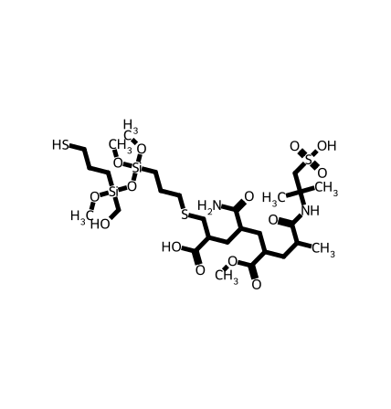 COC(=O)C(CC(C)C(=O)NC(C)(C)CS(=O)(=O)O)CC(CC(CSCCC[Si](OC)(OC)O[Si](CO)(CCCS)OC)C(=O)O)C(N)=O